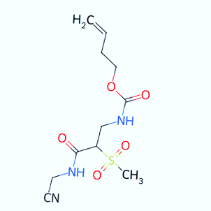 C=CCCOC(=O)NCC(C(=O)NCC#N)S(C)(=O)=O